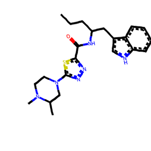 CCCC(Cc1c[nH]c2ccccc12)NC(=O)c1nnc(N2CCN(C)C(C)C2)s1